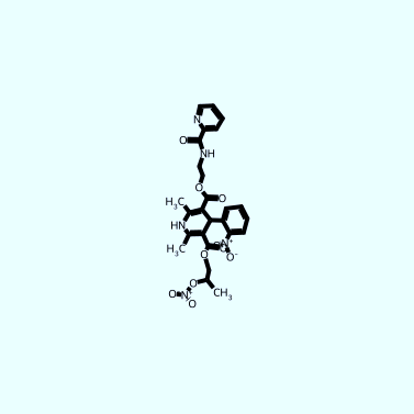 CC1=C(C(=O)OCCNC(=O)c2ccccn2)C(c2ccccc2[N+](=O)[O-])C(C(=O)OCC(C)O[N+](=O)[O-])=C(C)N1